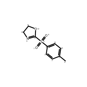 Cc1ccc(S(=O)(=O)C2=NCCO2)cc1